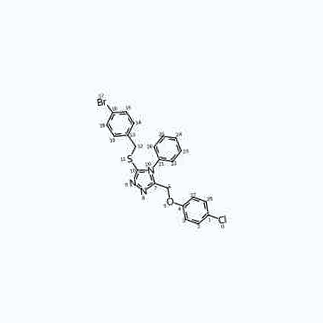 Clc1ccc(OCc2nnc(SCc3ccc(Br)cc3)n2-c2ccccc2)cc1